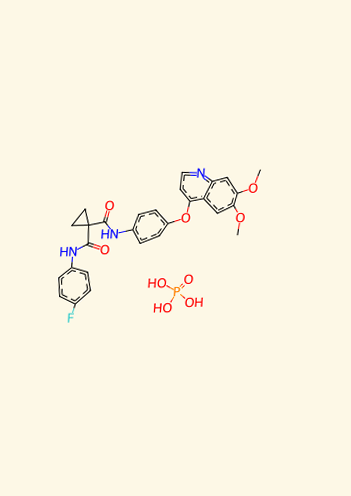 COc1cc2nccc(Oc3ccc(NC(=O)C4(C(=O)Nc5ccc(F)cc5)CC4)cc3)c2cc1OC.O=P(O)(O)O